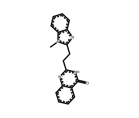 Cn1c(CCc2nc3ccccc3c(=O)[nH]2)nc2ccccc21